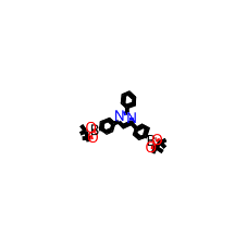 CC1(C)OB(c2ccc(-c3cc(-c4ccc(B5OC(C)(C)C(C)(C)O5)cc4)nc(-c4ccccc4)n3)cc2)OC1(C)C